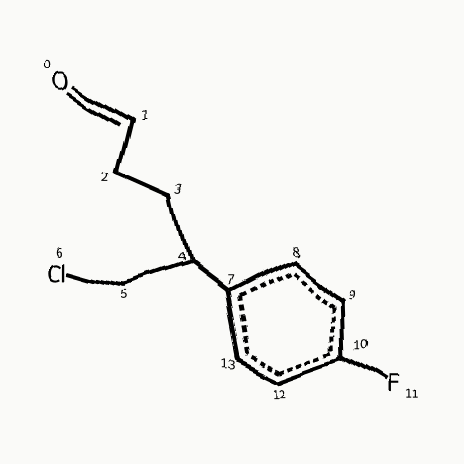 O=CCCC(CCl)c1ccc(F)cc1